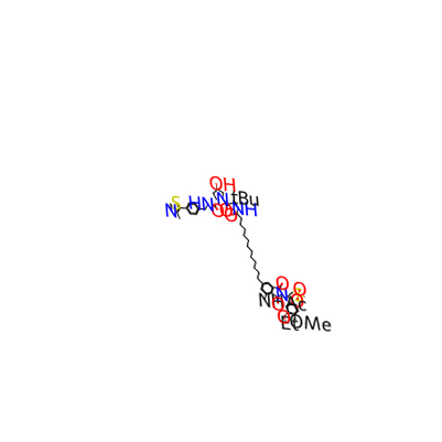 CCOc1cc(C(CS(C)(=O)=O)N2C(=O)c3cc(CCCCCCCCCCCCC(=O)NC(C(=O)N4C[C@H](O)C[C@H]4C(=O)NCc4ccc(-c5scnc5C)cc4)C(C)(C)C)cc(NC(C)=O)c3C2=O)ccc1OC